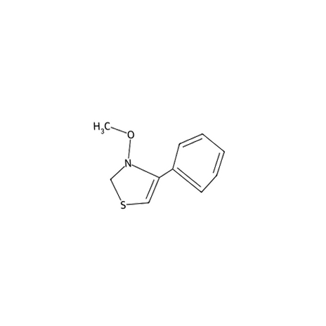 CON1CSC=C1c1ccccc1